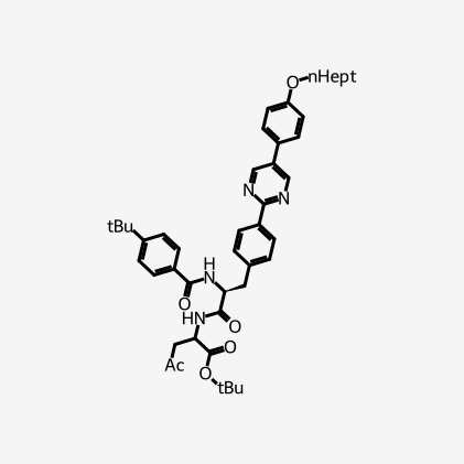 CCCCCCCOc1ccc(-c2cnc(-c3ccc(C[C@H](NC(=O)c4ccc(C(C)(C)C)cc4)C(=O)NC(CC(C)=O)C(=O)OC(C)(C)C)cc3)nc2)cc1